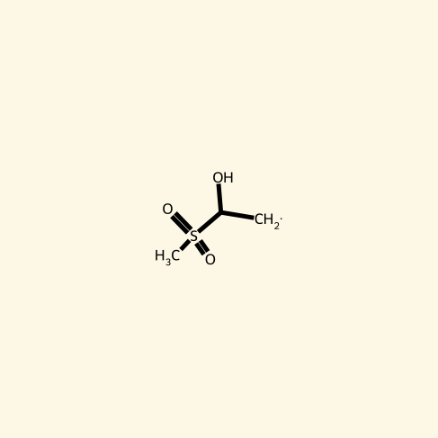 [CH2]C(O)S(C)(=O)=O